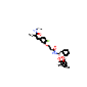 CC(C)(C)NC(=O)C(C#N)=Cc1ccc(F)c(OCCC(=O)N[C@@H](Cc2ccccc2)B2O[C@@H]3C[C@@H]4C[C@@H](C4(C)C)[C@]3(C)O2)c1